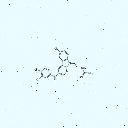 N=C(N)NCCn1c2ccc(Cl)cc2c2cc(Nc3ccc(Cl)c(Cl)c3)ccc21